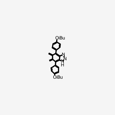 C=c1c(-c2ccc(OCC(C)C)cc2)c2nn[nH]c2c(-c2ccc(OCC(C)C)cc2)c1=C